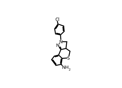 Nc1cccc2c1SCC1CN(c3ccc(Cl)cc3)N=C21